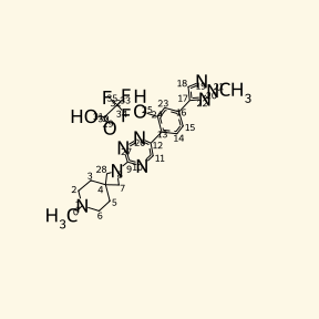 CN1CCC2(CC1)CN(c1ncc(-c3ccc(-c4cnn(C)n4)cc3O)nn1)C2.O=C(O)C(F)(F)F